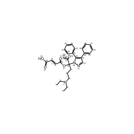 CCN(CC)CCCC(OC(=O)/C=C/C(=O)O)(C(N)=O)n1ncc(-c2ccccc2)c1-c1ccccc1